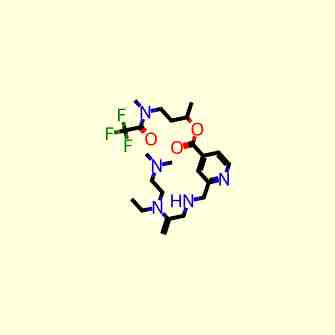 C=C(CNCc1cc(C(=O)OC(C)CCN(C)C(=O)C(F)(F)F)ccn1)N(CC)CCN(C)C